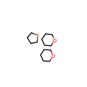 C1CCOCC1.C1CCOCC1.C1CCSC1